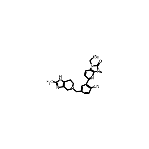 Cn1c(=O)n(CC(C)(C)C)c2ccc(-c3cc(CN4CCc5[nH]c(C(F)(F)F)nc5C4)ccc3C#N)nc21